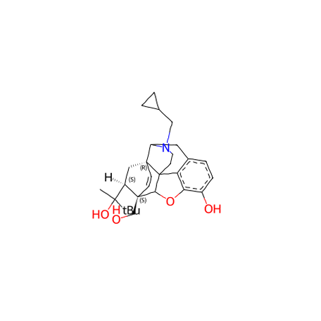 CC(C)(C)C(C)(O)[C@H]1C[C@@]23C=C[C@]1(CO)C1Oc4c(O)ccc5c4C12CCN(CC1CC1)C3C5